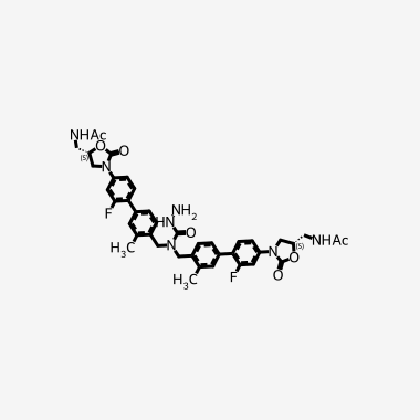 CC(=O)NC[C@H]1CN(c2ccc(-c3ccc(CN(Cc4ccc(-c5ccc(N6C[C@H](CNC(C)=O)OC6=O)cc5F)cc4C)C(=O)NN)c(C)c3)c(F)c2)C(=O)O1